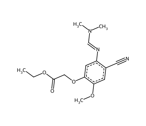 CCOC(=O)COc1cc(N=CN(C)C)c(C#N)cc1OC